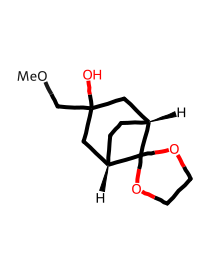 COCC1(O)C[C@H]2CC[C@@H](C1)C21OCCO1